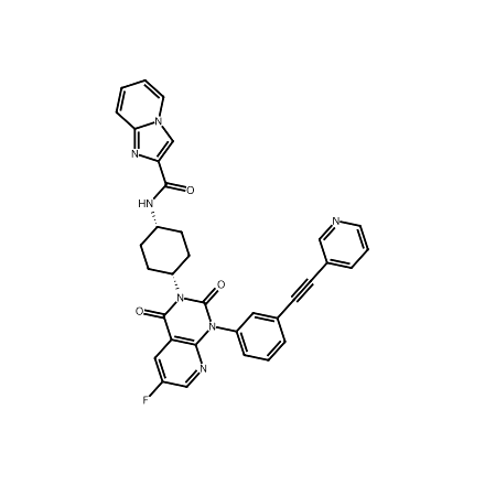 O=C(N[C@H]1CC[C@@H](n2c(=O)c3cc(F)cnc3n(-c3cccc(C#Cc4cccnc4)c3)c2=O)CC1)c1cn2ccccc2n1